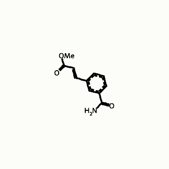 COC(=O)/C=C/c1cccc(C(N)=O)c1